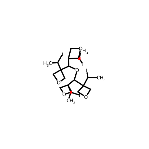 CC(I)C1(C(OC(C2(C(C)I)COC2)C2(C(C)I)COC2)C2(C(C)I)COC2)COC1